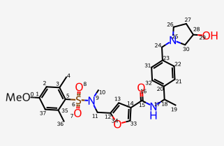 COc1cc(C)c(S(=O)(=O)N(C)Cc2cc(C(=O)NC(C)c3ccc(CN4CCC(O)C4)cc3)co2)c(C)c1